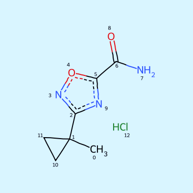 CC1(c2noc(C(N)=O)n2)CC1.Cl